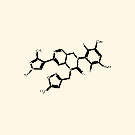 COc1cc(OC)c(F)c(N2CC3C=NC(c4cn(C)nc4C)=CC3N(Cc3cc(C)on3)C2=O)c1F